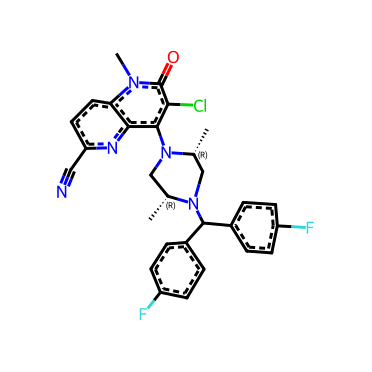 C[C@@H]1CN(C(c2ccc(F)cc2)c2ccc(F)cc2)[C@H](C)CN1c1c(Cl)c(=O)n(C)c2ccc(C#N)nc12